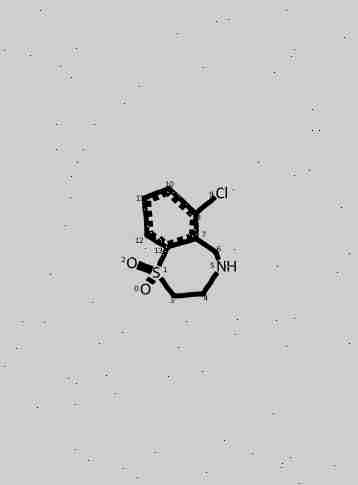 O=S1(=O)CCNCc2c(Cl)cccc21